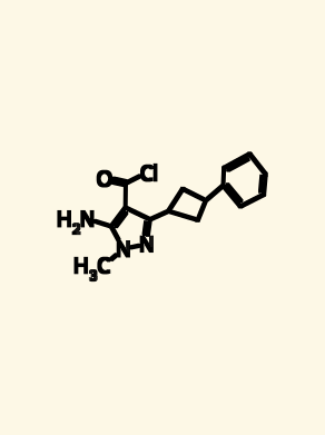 Cn1nc(C2CC(c3ccccc3)C2)c(C(=O)Cl)c1N